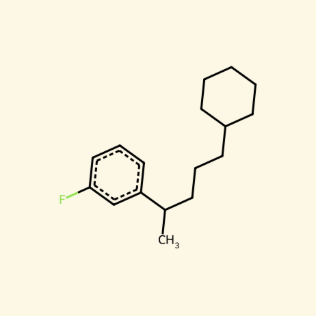 CC(CCCC1CCCCC1)c1cccc(F)c1